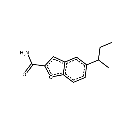 CCC(C)c1ccc2oc(C(N)=O)cc2c1